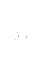 CCOC(=O)CC(=O)OCCOC